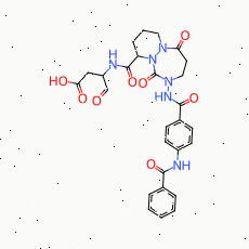 O=CC(CC(=O)O)NC(=O)C1CCCN2C(=O)CCN(NC(=O)c3ccc(NC(=O)c4ccccc4)cc3)C(=O)N12